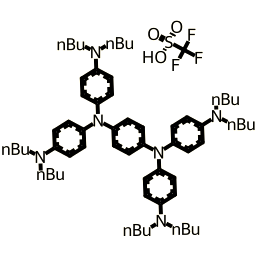 CCCCN(CCCC)c1ccc(N(c2ccc(N(CCCC)CCCC)cc2)c2ccc(N(c3ccc(N(CCCC)CCCC)cc3)c3ccc(N(CCCC)CCCC)cc3)cc2)cc1.O=S(=O)(O)C(F)(F)F